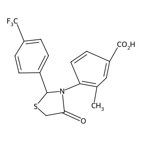 Cc1cc(C(=O)O)ccc1N1C(=O)CSC1c1ccc(C(F)(F)F)cc1